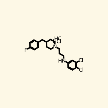 Cl.Cl.Fc1ccc(CC2CCN(CCCNc3ccc(Cl)c(Cl)c3)CC2)cc1